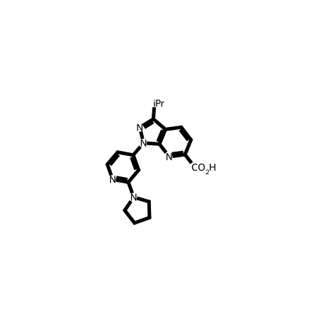 CC(C)c1nn(-c2ccnc(N3CCCC3)c2)c2nc(C(=O)O)ccc12